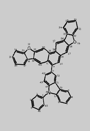 c1ccc(-n2c3ccccc3c3cc(-c4cc5cc6oc7ccccc7c6cc5c5cc6oc7ccccc7c6cc45)ccc32)cc1